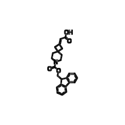 O=C(O)C=C1CC2(CCN(C(=O)OCC3c4ccccc4-c4ccccc43)CC2)C1